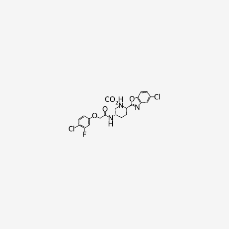 O=C(COc1ccc(Cl)c(F)c1)N[C@H]1CC[C@H](c2nc3cc(Cl)ccc3o2)N(C(=O)O)C1